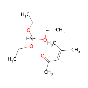 CC(=O)C=C(C)C.CCO[SiH](OCC)OCC